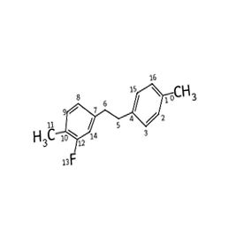 Cc1ccc(CCc2ccc(C)c(F)c2)cc1